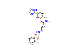 CN(Cc1ccc(C2=NCCN2)cc1)C(=O)/C=C/CNCS(=O)(=O)c1ccccc1Cl